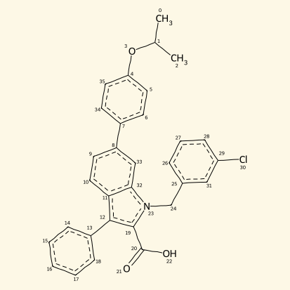 CC(C)Oc1ccc(-c2ccc3c(-c4ccccc4)c(C(=O)O)n(Cc4cccc(Cl)c4)c3c2)cc1